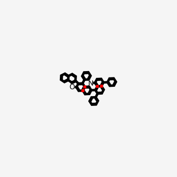 c1ccc(-c2ccc(N(c3ccccc3-c3ccccc3-c3ccccc3)c3ccccc3-c3cccc4oc5c6ccccc6ccc5c34)cc2)cc1